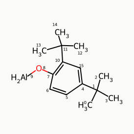 CC(C)(C)c1ccc([O][AlH2])c(C(C)(C)C)c1